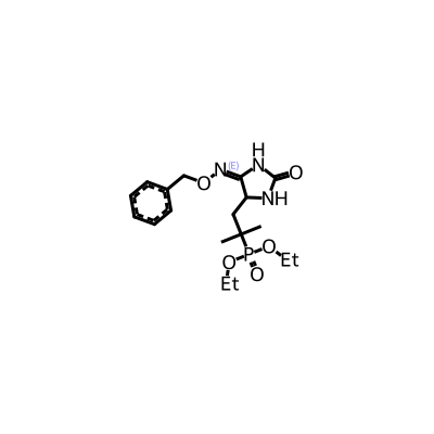 CCOP(=O)(OCC)C(C)(C)CC1NC(=O)N/C1=N/OCc1ccccc1